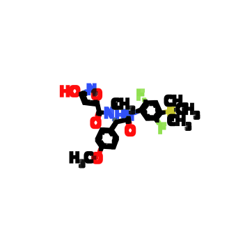 COc1ccc([C@@H](C(=O)Nc2cc(F)c(S(C)(C)C)cc2F)N(C)C(=O)c2cc(O)no2)cc1